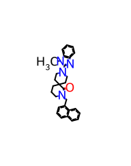 Cn1c(N2CCC3(CCCN(Cc4cccc5ccccc45)C3=O)CC2)nc2ccccc21